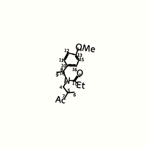 CCC(=O)N(CC(C)C(C)=O)[C@@H](C)c1ccc(OC)cc1